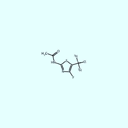 [2H]C([2H])(Cl)c1sc(NC(C)=O)nc1F